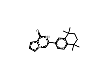 CC1(C)CCC(C)(C)c2cc(-c3cn4cccc4c(=O)[nH]3)ccc21